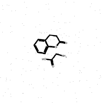 NCC(=O)O.O=C1CCc2ccccc2O1